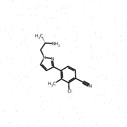 Cc1c(-c2ccn(C[C@H](C)N)n2)ccc(C#N)c1Cl